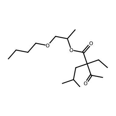 CCCCOCC(C)OC(=O)C(CC)(CC(C)C)C(C)=O